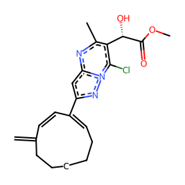 C=C1/C=C\C(c2cc3nc(C)c([C@H](O)C(=O)OC)c(Cl)n3n2)=C/CCCCC1